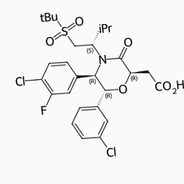 CC(C)[C@@H](CS(=O)(=O)C(C)(C)C)N1C(=O)[C@@H](CC(=O)O)O[C@H](c2cccc(Cl)c2)[C@H]1c1ccc(Cl)c(F)c1